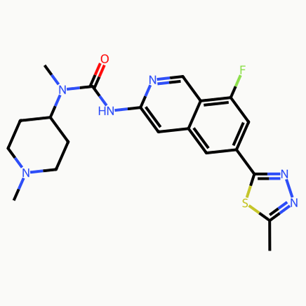 Cc1nnc(-c2cc(F)c3cnc(NC(=O)N(C)C4CCN(C)CC4)cc3c2)s1